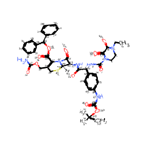 CCN1CCN(C(=O)N[C@@H](C(=O)N[C@@H]2C(=O)N3C(C(=O)OC(c4ccccc4)c4ccccc4)=C(COC(N)=O)CS[C@H]23)c2ccc(NC(=O)OC(C)(C)C)cc2)C(=O)C1=O